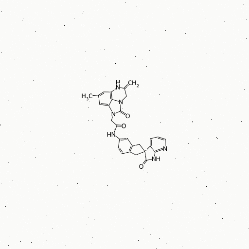 C=C1Cn2c(=O)n(CC(=O)Nc3ccc4c(c3)CC3(C4)C(=O)Nc4ncccc43)c3cc(C)cc(c32)N1